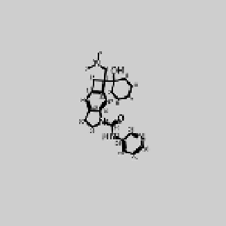 CN(C)CC1(C2(O)CCCCC2)Cc2cc3c(cc21)N(C(=O)Nc1cccnc1)CC3